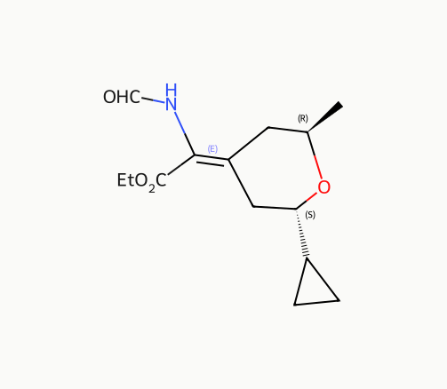 CCOC(=O)/C(NC=O)=C1/C[C@@H](C)O[C@H](C2CC2)C1